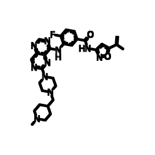 C=C(C)c1cc(NC(=O)c2ccc(F)c(Nc3ncnc4cnc(N5CCN(CC6CCN(C)CC6)CC5)nc34)c2)no1